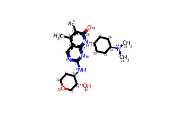 CC(=O)c1c(C)c2cnc(N[C@@H]3CCOC[C@H]3O)nc2n([C@H]2CC[C@H](N(C)C)CC2)c1=O